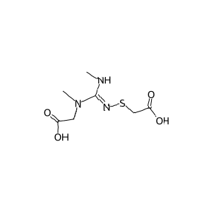 CN/C(=N\SCC(=O)O)N(C)CC(=O)O